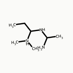 CCC(NC(C)N)[SiH](C)C